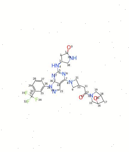 O=C1C[C@H](Nc2nc(N3CC(CC(=O)N4CC5CC(C4)O5)C3)c3cnn(-c4cccc(C(F)(F)F)c4)c3n2)CN1